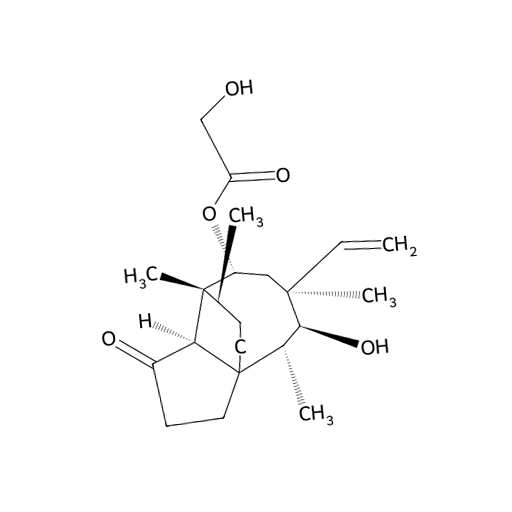 C=C[C@]1(C)C[C@@H](OC(=O)CO)[C@]2(C)[C@H](C)CCC3(CCC(=O)[C@H]32)[C@@H](C)[C@@H]1O